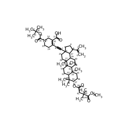 C=C(C)[C@@H]1CCC2(C#CC3=C(C(=O)O)CN(C(=O)OC(C)(C)C)CC3)CC[C@]3(C)C(CCC4[C@@]5(C)CC[C@H](OC(=O)CC(C)(C)C(=O)OC)C(C)(C)C5CC[C@]43C)C12